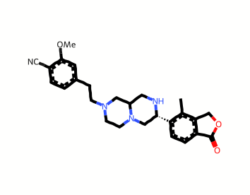 COc1cc(CCN2CCN3C[C@@H](c4ccc5c(c4C)COC5=O)NCC3C2)ccc1C#N